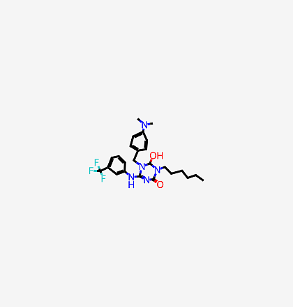 CCCCCCN1C(=O)N=C(Nc2cccc(C(F)(F)F)c2)N(Cc2ccc(N(C)C)cc2)C1O